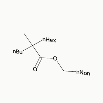 CCCCCCCCCCOC(=O)C(C)(CCCC)CCCCCC